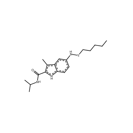 CCCCCSNc1ccc2[nH]c(C(=O)NC(C)C)c(C)c2c1